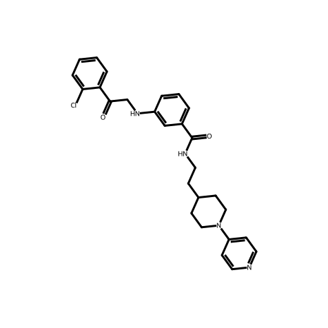 O=C(NCCC1CCN(c2ccncc2)CC1)c1cccc(NCC(=O)c2ccccc2Cl)c1